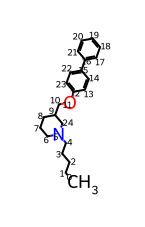 CCCCCN1CCCC(COc2ccc(-c3ccccc3)cc2)C1